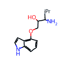 CC(C)C(N)C(O)COc1cccc2[nH]ccc12